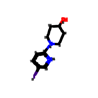 OC1CCN(c2ccc(I)cn2)CC1